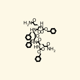 NC(=O)CC[C@H](NC(=O)OCc1ccccc1)C(=O)N[C@@H](Cc1ccccc1)[C@@H]1O[C@@H]1[C@H](Cc1ccccc1)NC(=O)[C@H](CCC(N)=O)NC(=O)OCc1ccccc1